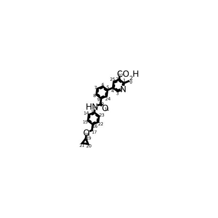 Cc1ncc(-c2cccc(C(=O)Nc3ccc(COC4CC4)cc3)c2)cc1C(=O)O